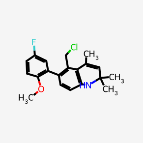 COc1ccc(F)cc1-c1ccc2c(c1CCl)C(C)=CC(C)(C)N2